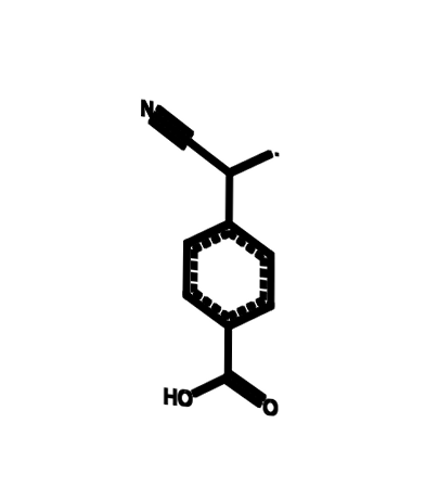 [CH2]C(C#N)c1ccc(C(=O)O)cc1